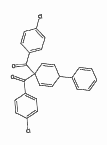 O=C(c1ccc(Cl)cc1)C1(C(=O)c2ccc(Cl)cc2)C=CC(c2ccccc2)C=C1